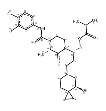 CC(C)C(=O)OC[C@H](CCN1CCC2(CC2)[C@H](O)C1)N1CCN(C(=O)Nc2ccc(Cl)c(Cl)c2)[C@@H](C)C1=O